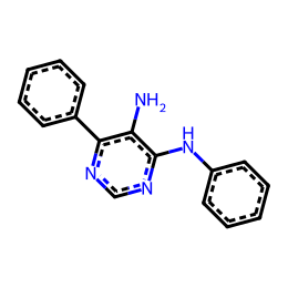 Nc1c(Nc2ccccc2)ncnc1-c1ccccc1